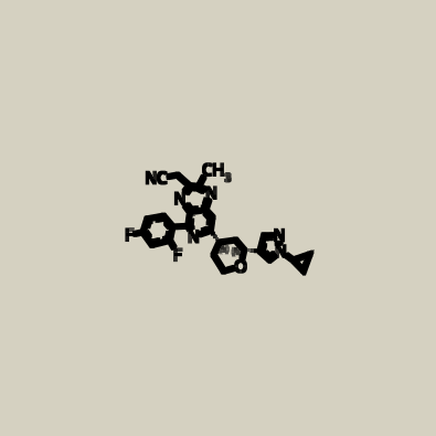 Cc1nc2cc([C@H]3CCO[C@@H](c4cnn(C5CC5)c4)C3)nc(-c3ccc(F)cc3F)c2nc1CC#N